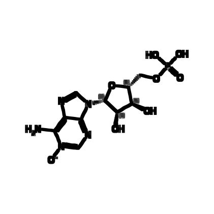 Nc1c2ncn([C@@H]3O[C@H](COP(=O)(O)O)[C@@H](O)[C@H]3O)c2nc[n+]1[O-]